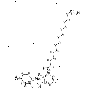 O=C(O)CCCCCCCCCCCCCCNc1cccc2c1CN(C1CCC(=O)NC1=O)C2=O